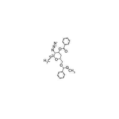 COC(OCC1CC(OC(=O)c2ccccc2)C(N=[N+]=[N-])[C@H](SC)O1)c1ccccc1